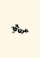 COc1cc(OC)cc(N(CC2COC2)c2ccc3ncc(-c4cnn(C)c4)nc3n2)c1